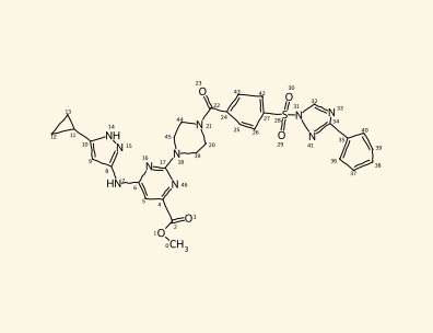 COC(=O)c1cc(Nc2cc(C3CC3)[nH]n2)nc(N2CCN(C(=O)c3ccc(S(=O)(=O)n4cnc(-c5ccccc5)n4)cc3)CC2)n1